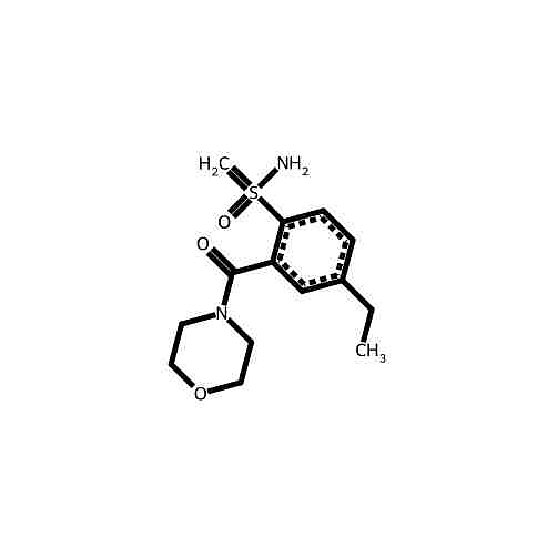 C=S(N)(=O)c1ccc(CC)cc1C(=O)N1CCOCC1